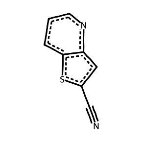 N#Cc1cc2ncccc2s1